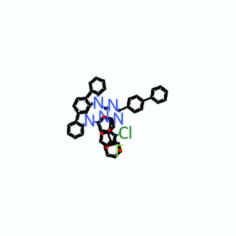 Fc1cccc(-c2nc(-c3ccc(-c4ccccc4)cc3)nc(-n3c4ccccc4c4ccc5c6ccccc6n(-c6cccc(-c7ccccc7)c6)c5c43)n2)c1Cl